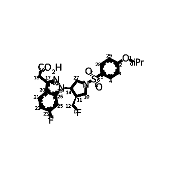 CC(C)Oc1ccc(S(=O)(=O)N2C[C@@H](CF)[C@@H](n3nc(CC(=O)O)c4ccc(F)cc43)C2)cc1